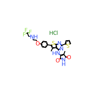 CC1=C(Nc2nc(-c3cccs3)nc3sc(-c4ccc(OCCNCC(F)(F)F)cc4)c(C)c23)C(=O)NC1=O.Cl